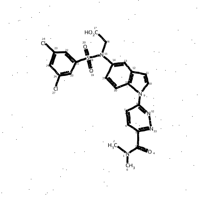 CN(C)C(=O)c1ccc(-n2ccc3cc(N(CC(=O)O)S(=O)(=O)c4cc(Cl)cc(Cl)c4)ccc32)nn1